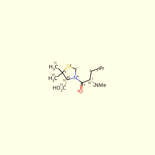 CN[C@@H](CC(C)C)C(=O)N1CSC(C)(C)[C@H]1C(=O)O